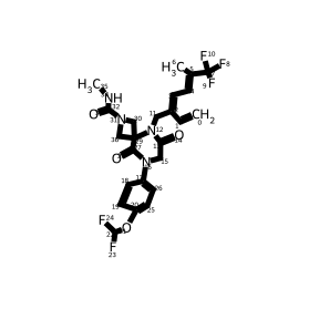 C=C/C(=C\C=C(/C)C(F)(F)F)CN1C(=O)CN(c2ccc(OC(F)F)cc2)C(=O)C12CN(C(=O)NC)C2